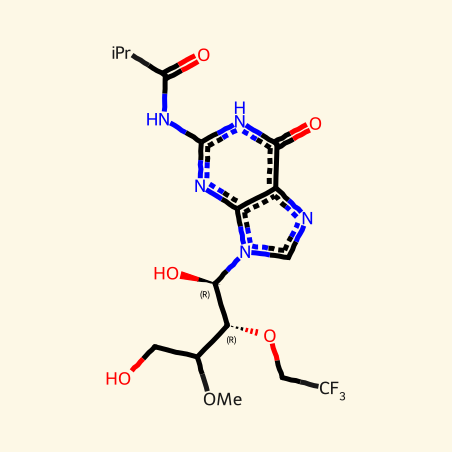 COC(CO)[C@@H](OCC(F)(F)F)[C@@H](O)n1cnc2c(=O)[nH]c(NC(=O)C(C)C)nc21